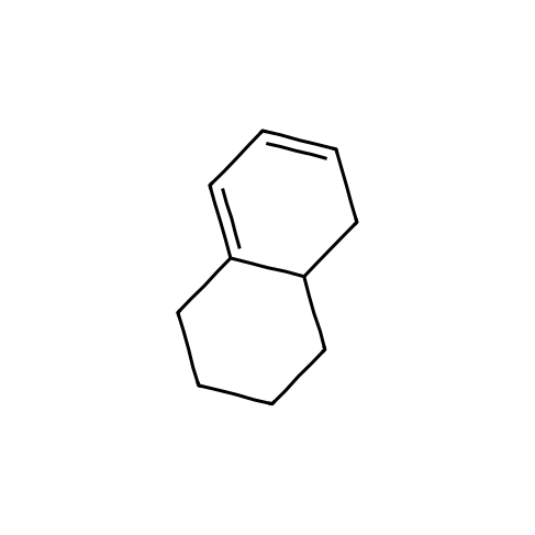 C1=CCC2CCCCC2=C1